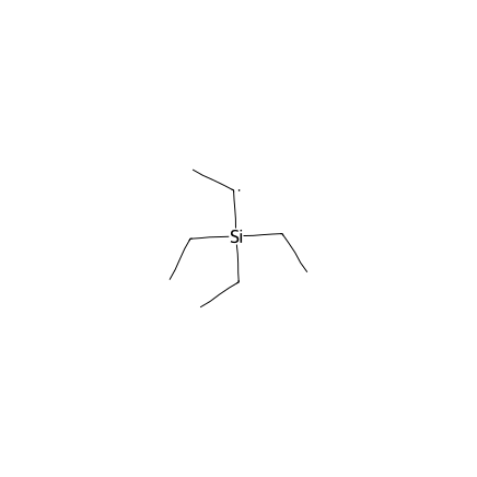 C[CH][Si](CC)(CC)CC